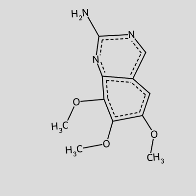 COc1cc2cnc(N)nc2c(OC)c1OC